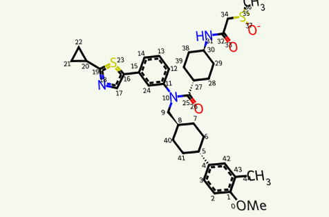 COc1ccc([C@H]2CC[C@H](CN(c3cccc(-c4cnc(C5CC5)s4)c3)C(=O)[C@H]3CC[C@H](NC(=O)C[S+](C)[O-])CC3)CC2)cc1C